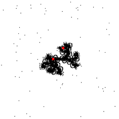 CCC(C)(CC)C(=O)OCC(C)(COC(=O)C(C)(CC)CC)C(=O)OCC(C)(COC(=O)C(C)(COC(=O)C(C)(CC)CC)COC(=O)C(C)(CC)CC)C(=O)OCCOC(=O)C(C)(COC(=O)C(C)(COC(=O)C(C)(CC)CC)COC(=O)C(C)(CC)CC)COC(=O)C(C)(COC(=O)C(C)(CC)CC)COC(=O)C(C)(CC)CC